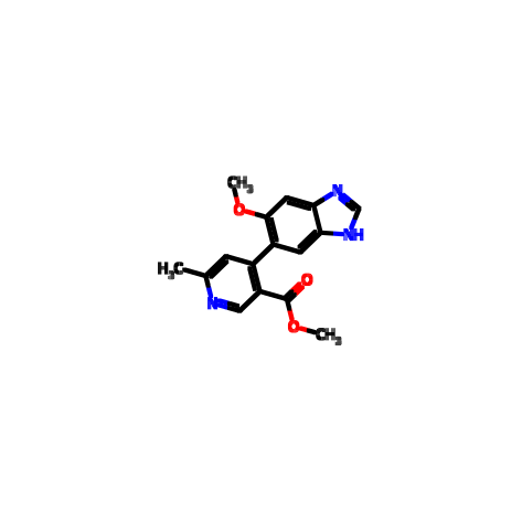 COC(=O)c1cnc(C)cc1-c1cc2[nH]cnc2cc1OC